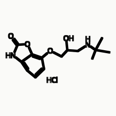 CC(C)(C)NCC(O)COc1cccc2[nH]c(=O)oc12.Cl